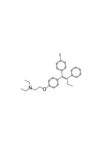 CC/C(=C(/c1ccc(I)cc1)c1ccc(OCCN(CC)CC)cc1)c1ccccc1